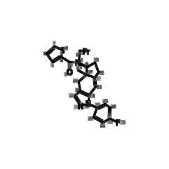 CCCN(C(=O)c1cccs1)[C@H]1CCC2=Cc3c(cnn3-c3ccc(F)cc3)CC21C